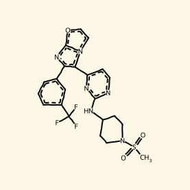 CS(=O)(=O)N1CCC(Nc2nccc(-c3c(-c4cccc(C(F)(F)F)c4)nc4occn34)n2)CC1